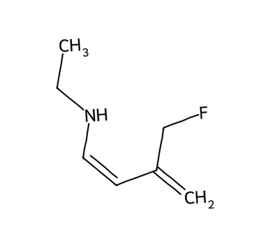 C=C(/C=C\NCC)CF